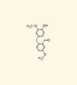 COc1ccc(Cc2ccc(O)c(OC)c2)c(C=O)c1